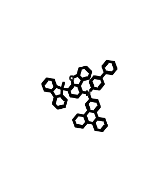 CC1(c2ccc(N(c3ccc(-c4ccccc4)cc3)c3ccc4c(c3)c3c(c5ccccc54)C=CCC3)c3c2oc2ccccc23)c2ccccc2-c2ccccc21